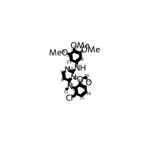 COc1cc(Nc2nccc(N(C)c3c(Cl)ccc4c3OCO4)n2)cc(OC)c1OC